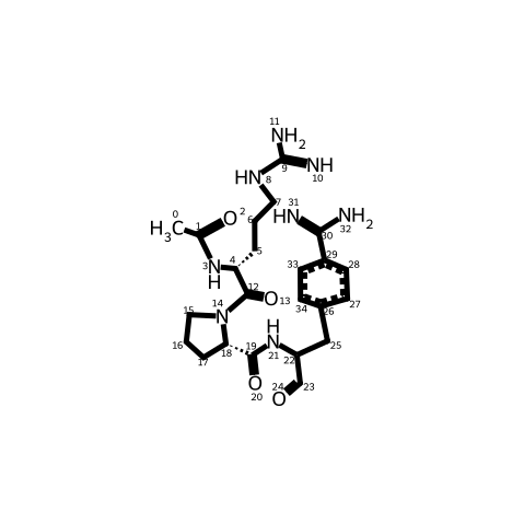 CC(=O)N[C@H](CCCNC(=N)N)C(=O)N1CCC[C@H]1C(=O)NC(C=O)Cc1ccc(C(=N)N)cc1